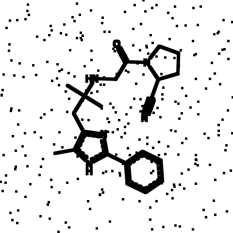 Cc1[nH]c(-c2ccccc2)nc1CC(C)(C)NCC(=O)N1CCCC1C#N